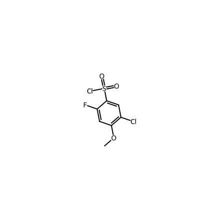 COc1cc(F)c(S(=O)(=O)Cl)cc1Cl